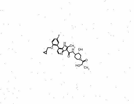 Cc1[nH]c2c(-c3cc(F)ccc3OCC3CC3)ccnc2c1C(=O)N[C@@H]1CCN(C(=O)[C@H](C)O)C[C@H]1O